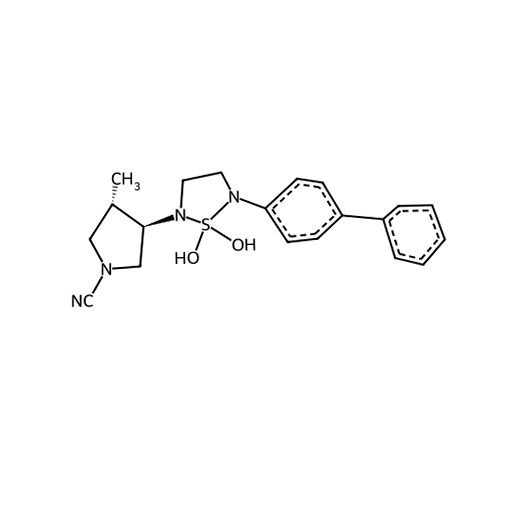 C[C@H]1CN(C#N)C[C@@H]1N1CCN(c2ccc(-c3ccccc3)cc2)S1(O)O